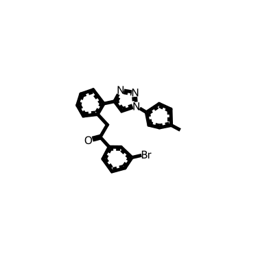 Cc1ccc(-n2cc(-c3ccccc3CC(=O)c3cccc(Br)c3)nn2)cc1